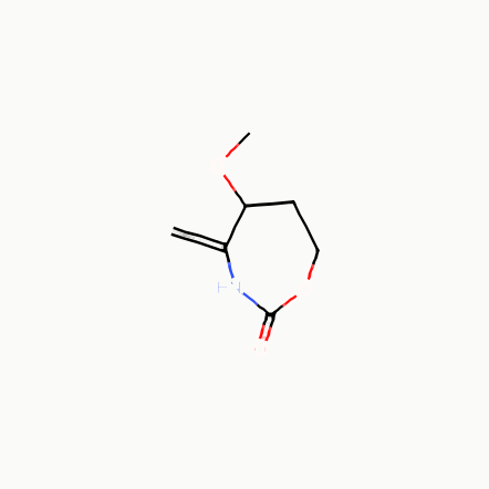 C=C1NC(=O)OCCC1OC